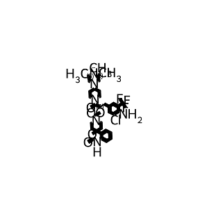 C[C@@H]1CN(C2CCN(C(=O)[C@@H](Cc3cc(Cl)c(N)c(C(F)(F)F)c3)OC(=O)N3CCC4(CC3)OC(=O)Nc3ccccc34)CC2)C[C@H](C)N1C